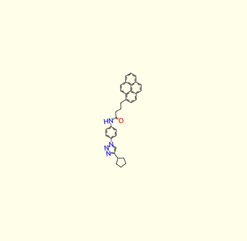 O=C(CCCc1ccc2ccc3cccc4ccc1c2c34)Nc1ccc(-n2cc(C3CCCC3)nn2)cc1